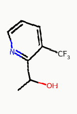 CC(O)c1ncccc1C(F)(F)F